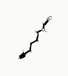 C#CCCCCOC=O